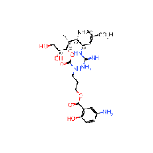 CC(=O)N[C@@H]([C@@H](C)[C@H](OC(=O)NCCCOC(=O)c1cc(N)ccc1O)[C@H](O)CO)[C@H](/C=C(\C)C(=O)O)NC(=N)N